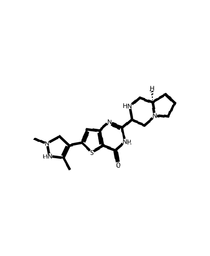 CC1=C(c2cc3nc(C4CN5CCC[C@@H]5CN4)[nH]c(=O)c3s2)CN(C)N1